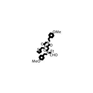 CCC(C=O)N(CCc1ccc(OC)cc1)C(=O)CC1C(=O)N(CCc2ccc(OC)cc2)CC(=O)N1CCc1cccs1